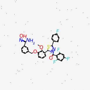 COc1c(OCc2cccc(/C(N)=N/O)c2)cccc1C1SC(c2ccc(F)cc2)=NN1C(=O)c1c(F)cc(F)cc1F